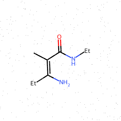 CCNC(=O)C(C)=C(N)CC